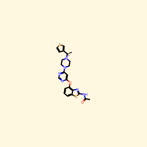 CC(=O)Nc1nc2c(Oc3cc(N4CCN([C@H](C)c5ccsc5)CC4)ncn3)cccc2s1